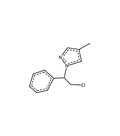 Cc1cnn(C(CCl)c2ccccc2)c1